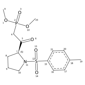 COP(=O)(CC(=O)[C@@H]1CCCN1S(=O)(=O)c1ccc(C)cc1)OC